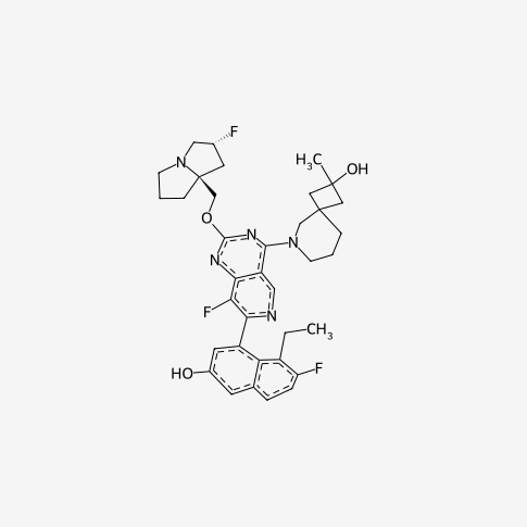 CCc1c(F)ccc2cc(O)cc(-c3ncc4c(N5CCCC6(C5)CC(C)(O)C6)nc(OC[C@@]56CCCN5C[C@H](F)C6)nc4c3F)c12